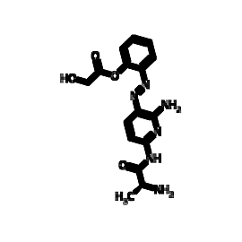 C[C@H](N)C(=O)Nc1ccc(/N=N/c2ccccc2OC(=O)CO)c(N)n1